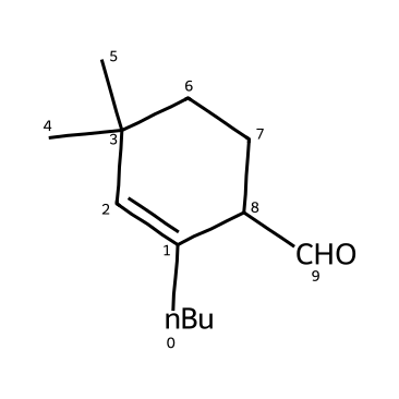 CCCCC1=CC(C)(C)CCC1C=O